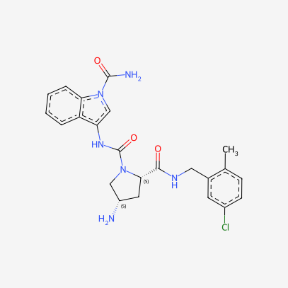 Cc1ccc(Cl)cc1CNC(=O)[C@@H]1C[C@H](N)CN1C(=O)Nc1cn(C(N)=O)c2ccccc12